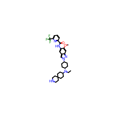 CCN(C1CCC2(CCNCC2)CC1)[C@H]1CC[C@H](n2cc3cc(NC(=O)c4cccc(C(F)(F)F)n4)c(OC)cc3n2)CC1